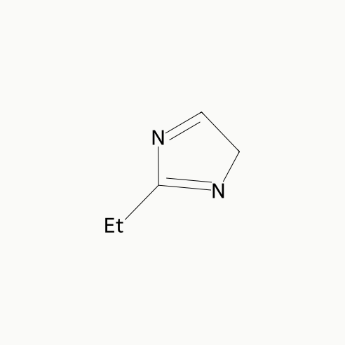 CCC1=NCC=N1